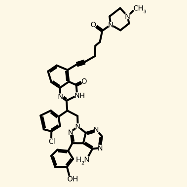 CN1CCN(C(=O)CCCC#Cc2cccc3nc(C(Cn4nc(-c5cccc(O)c5)c5c(N)ncnc54)c4cccc(Cl)c4)[nH]c(=O)c23)CC1